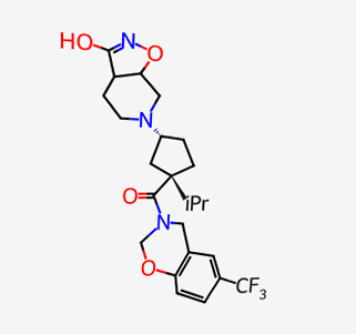 CC(C)[C@]1(C(=O)N2COc3ccc(C(F)(F)F)cc3C2)CC[C@@H](N2CCC3C(O)=NOC3C2)C1